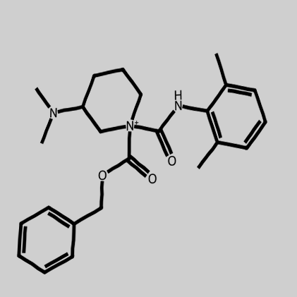 Cc1cccc(C)c1NC(=O)[N+]1(C(=O)OCc2ccccc2)CCCC(N(C)C)C1